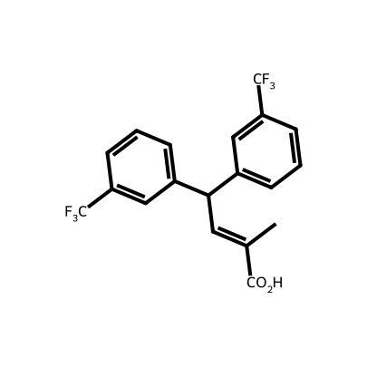 CC(=CC(c1cccc(C(F)(F)F)c1)c1cccc(C(F)(F)F)c1)C(=O)O